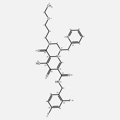 CCOCCCN1CN(Cc2ccccn2)n2cc(C(=O)NCc3ccc(F)cc3F)c(=O)c(O)c2C1=O